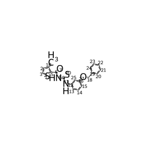 Cc1ccsc1C(=O)NC(=S)Nc1cccc(OCc2ccccc2)c1